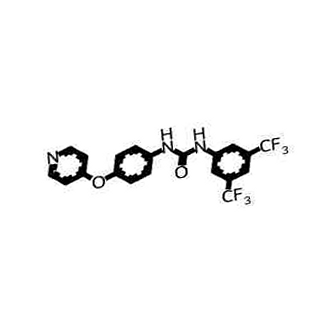 O=C(Nc1ccc(Oc2ccncc2)cc1)Nc1cc(C(F)(F)F)cc(C(F)(F)F)c1